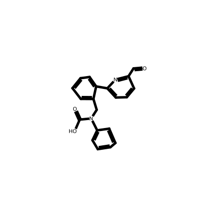 O=Cc1cccc(-c2ccccc2CN(C(=O)O)c2ccccc2)n1